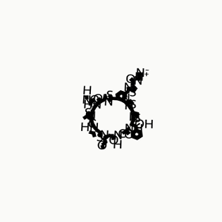 CNC(=O)C[C@@H]1NC(=O)c2csc(n2)-c2ccc(-c3nc(C(=O)N=[N+]=[N-])cs3)nc2-c2csc(n2)-c2csc(n2)[C@H]([C@@H](O)c2ccccc2)NC(=O)CNC(=O)c2nc(sc2COC)[C@H](C(C)C)NCc2nc1sc2C